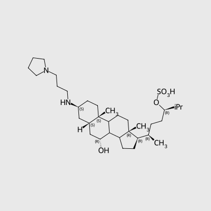 CC(C)[C@@H](CC[C@@H](C)[C@H]1CCC2C3C(CC[C@@]21C)[C@@]1(C)CC[C@H](NCCCN2CCCC2)C[C@H]1C[C@H]3O)OS(=O)(=O)O